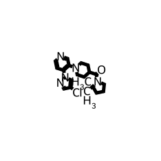 CC1(C)CCCN1C(=O)C1CCN(c2cnccc2-n2cc(Cl)cn2)CC1